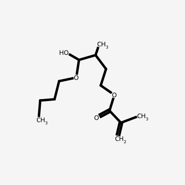 C=C(C)C(=O)OCCC(C)C(O)OCCCC